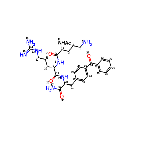 CC(=O)N[C@H](CCCN)C(=O)N[C@@H](CCCNC(=N)N)C(=O)N[C@@H](Cc1ccc(C(=O)c2ccccc2)cc1)C(N)=O